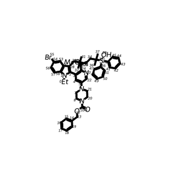 CCn1c(-c2cc(N3CCN(C(=O)OCc4ccccc4)CC3)cnc2[C@H](C)OC)c(CC(C)(C)CCC(C)(C)[Si](O)(c2ccccc2)c2ccccc2)c2cc(Br)ccc21